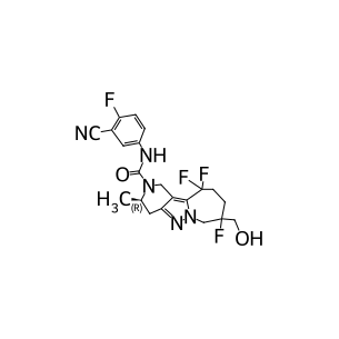 C[C@@H]1Cc2nn3c(c2CN1C(=O)Nc1ccc(F)c(C#N)c1)C(F)(F)CCC(F)(CO)C3